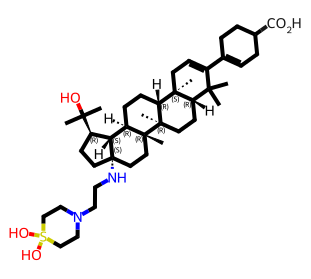 CC(C)(O)[C@@H]1CC[C@]2(NCCN3CCS(O)(O)CC3)CC[C@]3(C)[C@H](CC[C@@H]4[C@@]5(C)CC=C(C6=CCC(C(=O)O)CC6)C(C)(C)[C@@H]5CC[C@]43C)[C@@H]12